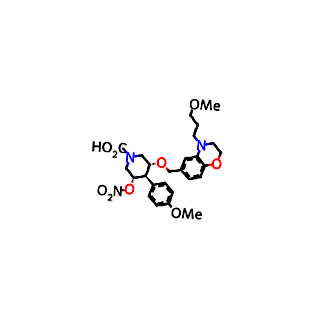 COCCCN1CCOc2ccc(CO[C@H]3CN(C(=O)O)C[C@@H](O[N+](=O)[O-])[C@@H]3c3ccc(OC)cc3)cc21